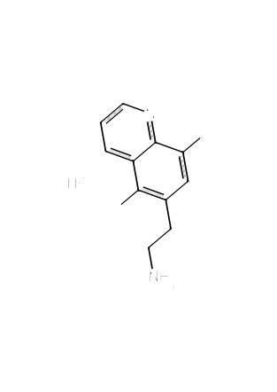 Cl.NCCc1cc(F)c2ncccc2c1F